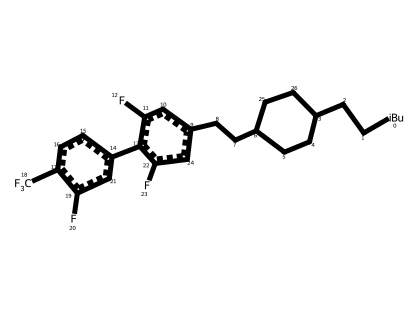 CCC(C)CCC1CCC(CCc2cc(F)c(-c3ccc(C(F)(F)F)c(F)c3)c(F)c2)CC1